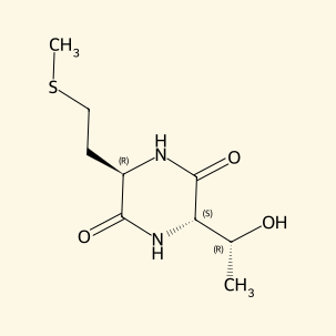 CSCC[C@H]1NC(=O)[C@H]([C@@H](C)O)NC1=O